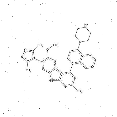 COc1cc2c(cc1-c1c(C)noc1C)[nH]c1nc(C)nc(-c3ccc(N4CCNCC4)c4ccccc34)c12